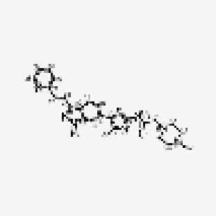 Cc1nc(NC(=O)CN2CCN(C)CC2)sc1-c1ccc2c(C=Cc3ccccn3)n[nH]c2c1